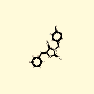 Cc1ccc(CN2C(=O)S/C(=C\c3ccccc3)C2=O)cc1